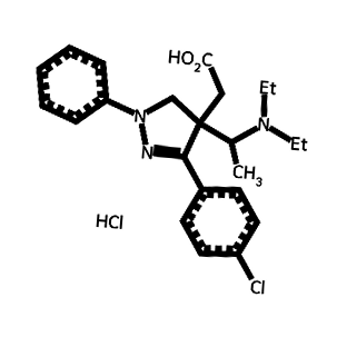 CCN(CC)C(C)C1(CC(=O)O)CN(c2ccccc2)N=C1c1ccc(Cl)cc1.Cl